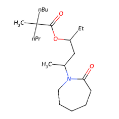 CCCCC(C)(CCC)C(=O)OC(CC)CC(C)N1CCCCCC1=O